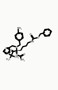 CC(C)(C)C(=O)[C@@](CCCCNC(=O)OCc1ccccc1)(OC(N)=O)N(Cc1ccc(N)cc1)Cc1cccs1